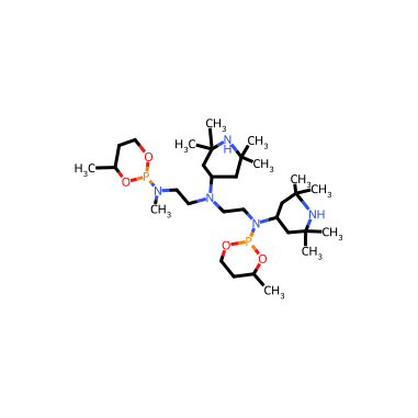 CC1CCOP(N(C)CCN(CCN(C2CC(C)(C)NC(C)(C)C2)P2OCCC(C)O2)C2CC(C)(C)NC(C)(C)C2)O1